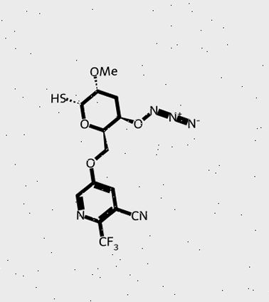 CO[C@@H]1C[C@@H](ON=[N+]=[N-])[C@@H](COc2cnc(C(F)(F)F)c(C#N)c2)O[C@@H]1S